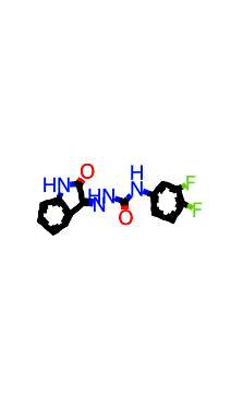 O=C(NN=C1C(=O)Nc2ccccc21)Nc1ccc(F)c(F)c1